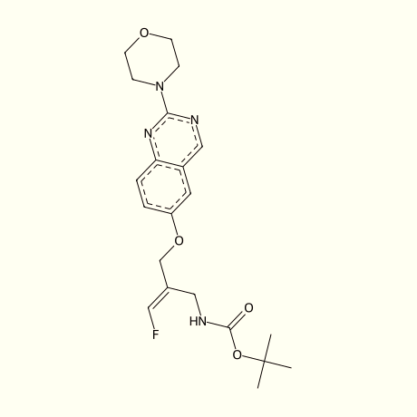 CC(C)(C)OC(=O)NC/C(=C\F)COc1ccc2nc(N3CCOCC3)ncc2c1